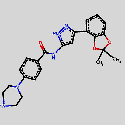 CC1(C)Oc2cccc(-c3cc(NC(=O)c4ccc(N5CCNCC5)cc4)[nH]n3)c2O1